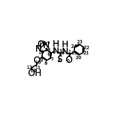 O=C(NC(=S)Nc1ccc(OCCO)c2nonc12)c1ccccc1